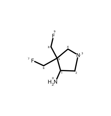 NC1C[N]CC1(CF)CF